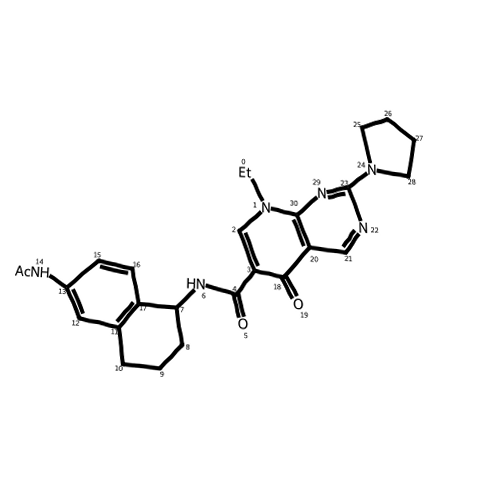 CCn1cc(C(=O)NC2CCCc3cc(NC(C)=O)ccc32)c(=O)c2cnc(N3CCCC3)nc21